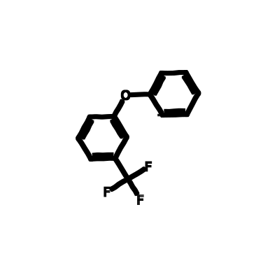 FC(F)(F)c1cccc(Oc2[c]cccc2)c1